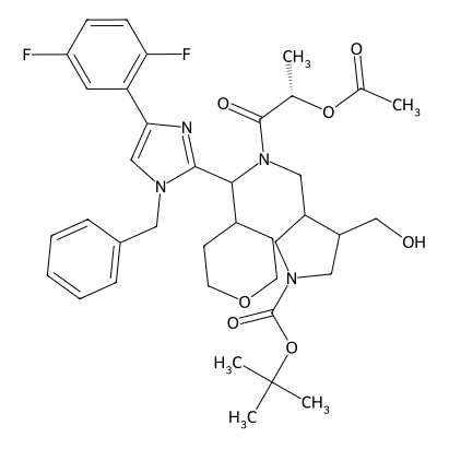 CC(=O)O[C@@H](C)C(=O)N(CC1CN(C(=O)OC(C)(C)C)CC1CO)C(c1nc(-c2cc(F)ccc2F)cn1Cc1ccccc1)C1CCOCC1